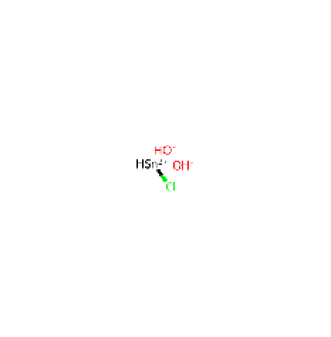 [Cl][SnH+2].[OH-].[OH-]